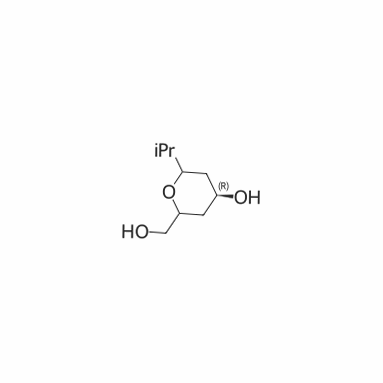 CC(C)C1C[C@@H](O)CC(CO)O1